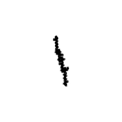 C=CC(=O)OCCCCOc1ccc(C(=O)Oc2ccc(SC(=O)/C=C/c3ccc(OCCCCOC(=O)C=C)c(OC)c3)c(C)c2)cc1